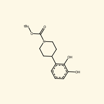 CC(C)(C)OC(=O)N1CCC(c2cccc(O)c2O)CC1